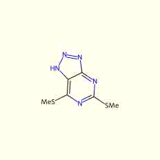 CSc1nc(SC)c2[nH]nnc2n1